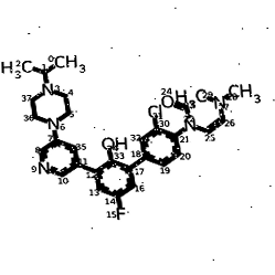 CC(C)N1CCN(c2cncc(-c3cc(F)cc(-c4ccc(N(C=O)/C=C\N(C)C)c(Cl)c4)c3O)c2)CC1